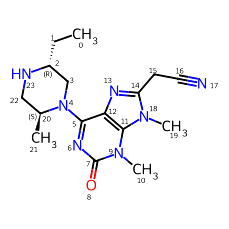 CC[C@@H]1CN(c2nc(=O)n(C)c3c2nc(CC#N)n3C)[C@@H](C)CN1